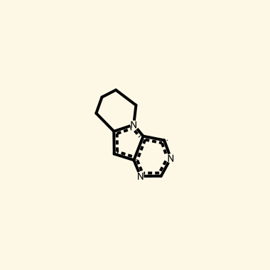 [c]1ncnc2cc3n(c12)CCCC3